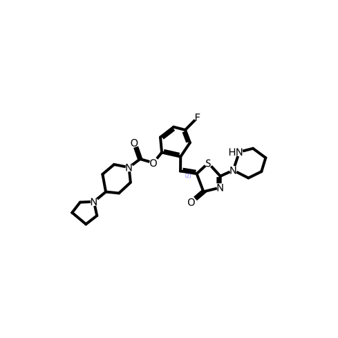 O=C1N=C(N2CCCCN2)S/C1=C\c1cc(F)ccc1OC(=O)N1CCC(N2CCCC2)CC1